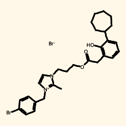 Cc1n(CCCOC(=O)Cc2cccc(C3CCCCCC3)c2O)cc[n+]1Cc1ccc(Br)cc1.[Br-]